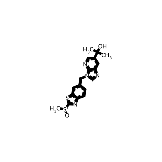 C[S+]([O-])c1nc2ccc(Cn3cnc4cc(C(C)(C)O)cnc43)cc2s1